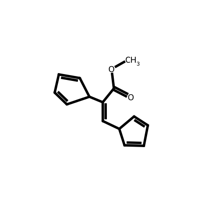 COC(=O)C(=CC1C=CC=C1)C1C=CC=C1